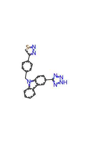 c1ccc2c(c1)c1cc(-c3nn[nH]n3)ccc1n2Cc1ccc(-c2csnn2)cc1